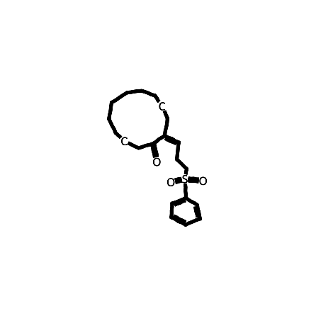 O=C1CCCCCCCCCCC1=CCCS(=O)(=O)c1ccccc1